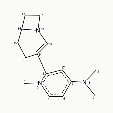 CN(C)c1cc[n+](C)c(C2=CN3CCC3CC2)c1